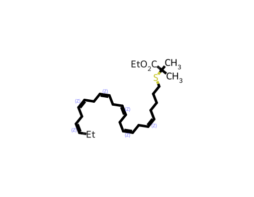 CC/C=C\C/C=C\C/C=C\C/C=C\C/C=C\C/C=C\CCCCSC(C)(C)C(=O)OCC